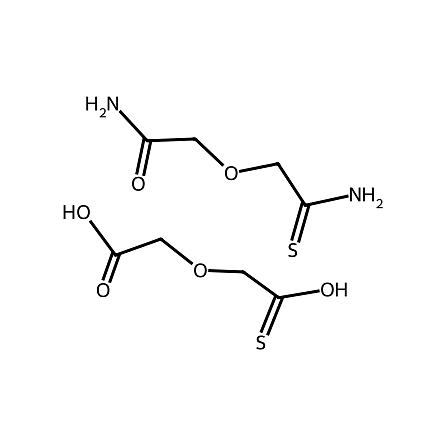 NC(=O)COCC(N)=S.O=C(O)COCC(O)=S